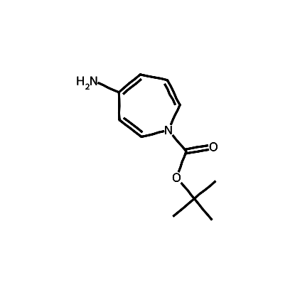 CC(C)(C)OC(=O)N1C=CC=C(N)C=C1